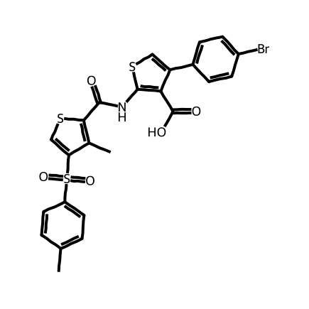 Cc1ccc(S(=O)(=O)c2csc(C(=O)Nc3scc(-c4ccc(Br)cc4)c3C(=O)O)c2C)cc1